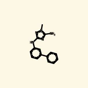 Cn1nc(Nc2cccc(-c3ccccc3)c2)nc1N